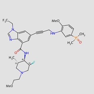 COCCN1C[C@H](C)[C@@H](NC(=O)c2cc(C#CCNc3cc(P(C)(C)=O)ccc3OC)cc3c2ncn3CC(F)(F)F)[C@@H](F)C1